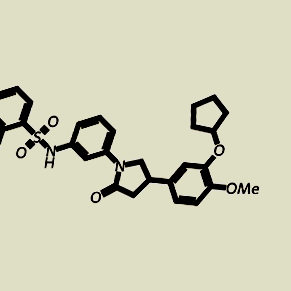 COc1ccc(C2CC(=O)N(c3cccc(NS(=O)(=O)c4ccccc4C)c3)C2)cc1OC1CCCC1